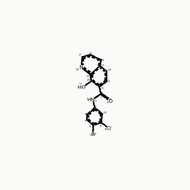 O=C(Nc1ccc(Br)c(Cl)c1)c1ccc2cccnc2c1O